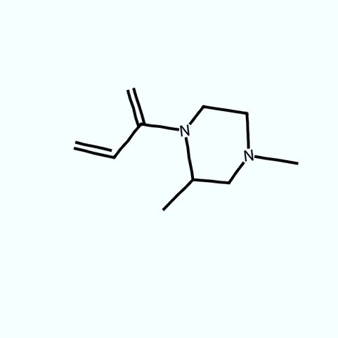 C=CC(=C)N1CCN(C)CC1C